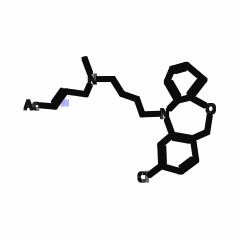 CC(=O)/C=C/CN(C)CCCCN1c2cc(Cl)ccc2COc2ccccc21